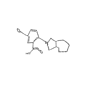 O=C(O)c1cc(Cl)ccc1N1CC2CCCCC2C1